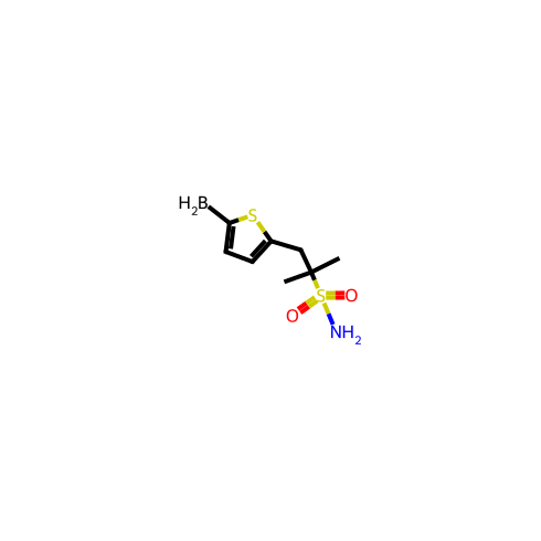 Bc1ccc(CC(C)(C)S(N)(=O)=O)s1